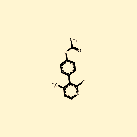 NC(=O)Oc1ccc(-c2c(C(F)(F)F)ccnc2Cl)cc1